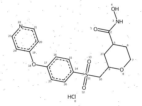 Cl.O=C(NO)C1CCOC(CS(=O)(=O)c2ccc(Oc3ccncc3)cc2)C1